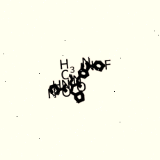 CCC1C(NC(=O)c2cccnc2)C(Cc2ccccc2)C(=O)N1c1ccc2c(cnn2-c2ccc(F)cc2)c1